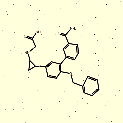 NC(=O)CNC1CC1c1ccc(OCc2ccccc2)c(-c2cccc(C(N)=O)c2)c1